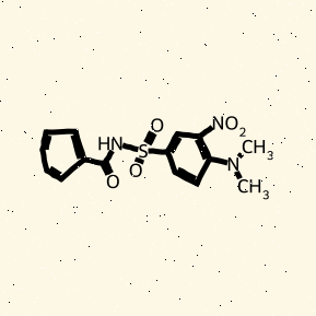 CN(C)c1ccc(S(=O)(=O)NC(=O)c2ccccc2)cc1[N+](=O)[O-]